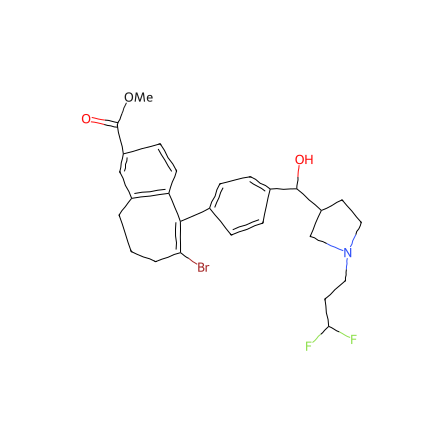 COC(=O)c1ccc2c(c1)CCCC(Br)=C2c1ccc(C(O)C2CCN(CCC(F)F)C2)cc1